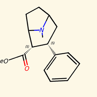 COC(=O)[C@@H]1C2CCC(C[C@@H]1c1ccccc1)N2C